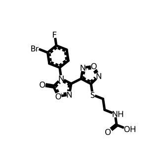 O=C(O)NCCSc1nonc1-c1noc(=O)n1-c1ccc(F)c(Br)c1